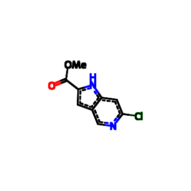 COC(=O)c1cc2cnc(Cl)cc2[nH]1